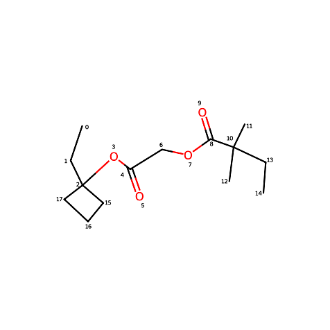 CCC1(OC(=O)COC(=O)C(C)(C)CC)CCC1